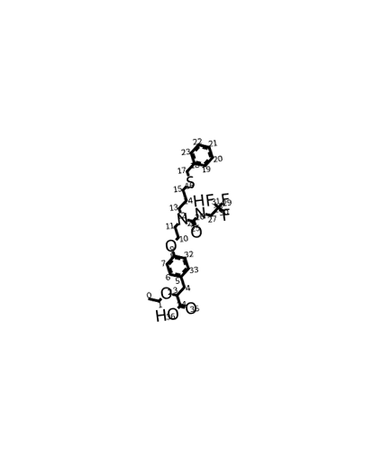 CCOC(Cc1ccc(OCCN(CCCSCc2ccccc2)C(=O)NCC(F)(F)F)cc1)C(=O)O